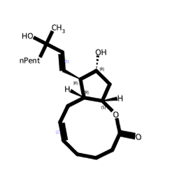 CCCCCC(C)(O)/C=C/[C@@H]1[C@H]2C/C=C\CCCC(=O)O[C@H]2C[C@H]1O